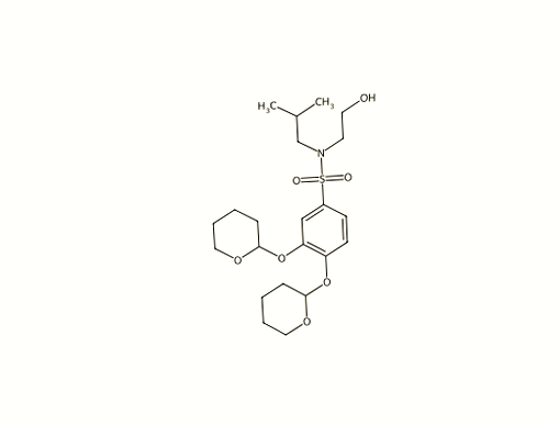 CC(C)CN(CCO)S(=O)(=O)c1ccc(OC2CCCCO2)c(OC2CCCCO2)c1